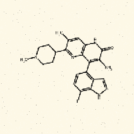 Cc1cc2[nH]c(=O)c(N)c(-c3ccc(F)c4[nH]ncc34)c2nc1C1CCN(C)CC1